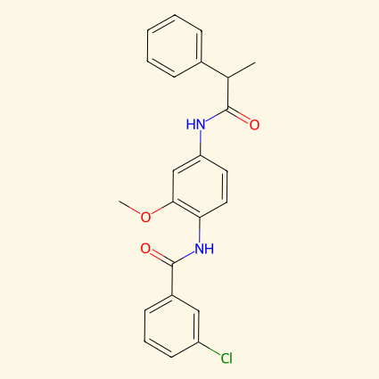 COc1cc(NC(=O)C(C)c2ccccc2)ccc1NC(=O)c1cccc(Cl)c1